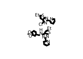 CCc1cc2c(Cl)nc(-c3ccccn3)nc2s1.CCc1cc2c(NCc3ccc4c(c3)OCO4)nc(-c3ccccn3)nc2s1